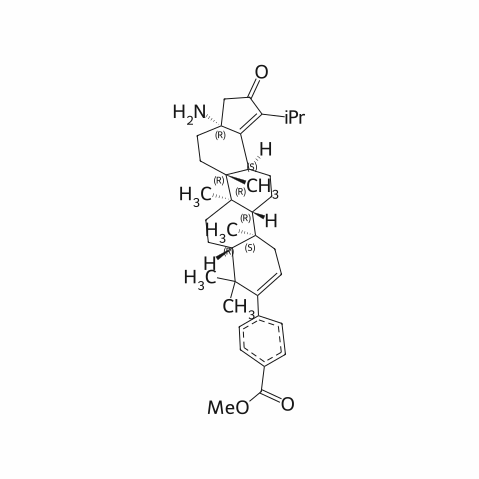 COC(=O)c1ccc(C2=CC[C@]3(C)[C@H]4CC[C@@H]5C6=C(C(C)C)C(=O)C[C@]6(N)CC[C@@]5(C)[C@]4(C)CC[C@H]3C2(C)C)cc1